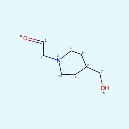 O=[C]CN1CCC(CO)CC1